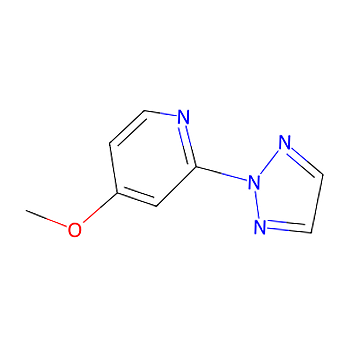 COc1ccnc(-n2nccn2)c1